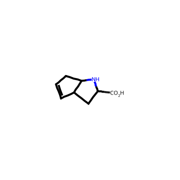 O=C(O)C1CC2C=CCC2N1